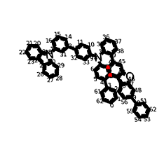 c1ccc(-c2ccc(N(c3ccc(-c4cccc(-n5c6ccccc6c6ccccc65)c4)cc3)c3ccccc3-c3ccc4c(c3)oc3cc(-c5ccccc5)ccc34)cc2)cc1